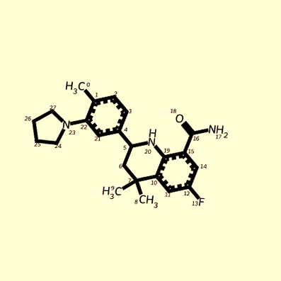 Cc1ccc(C2CC(C)(C)c3cc(F)cc(C(N)=O)c3N2)cc1N1CCCC1